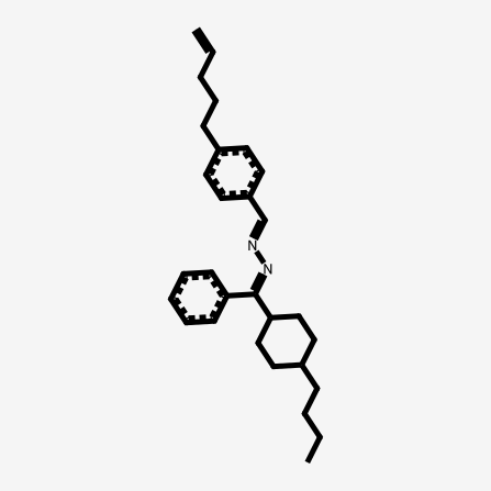 C=CCCCc1ccc(C=NN=C(c2ccccc2)C2CCC(CCCC)CC2)cc1